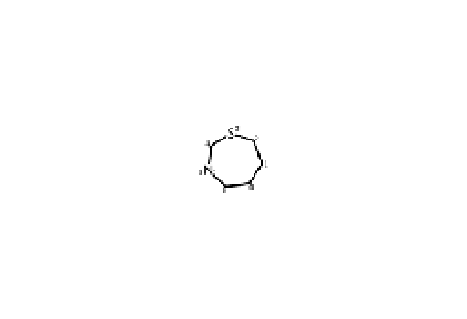 C1CCSC[N]C1